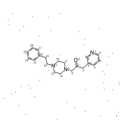 O=C(Cc1cccnc1)CN1CCN(CCc2ccccc2)CC1